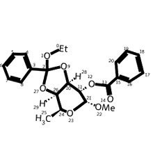 CCOC1(c2ccccc2)O[C@H]2[C@H](OC(=O)c3ccccc3)[C@H](OC)O[C@@H](C)[C@H]2O1